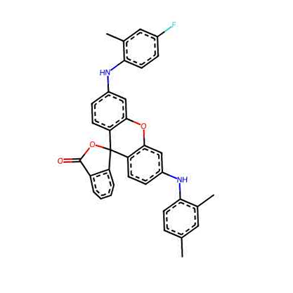 Cc1ccc(Nc2ccc3c(c2)Oc2cc(Nc4ccc(F)cc4C)ccc2C32OC(=O)c3ccccc32)c(C)c1